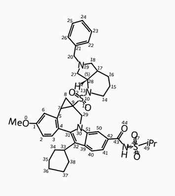 COc1ccc2c(c1)C1CC1(S(=O)(=O)N1CCCC3CN(Cc4ccccc4)C[C@H]31)Cn1c-2c(C2CCCCC2)c2ccc(C(=O)NS(=O)(=O)C(C)C)cc21